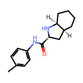 Cc1ccc(NC(=O)[C@@H]2C[C@@H]3CCCC[C@@H]3N2)cc1